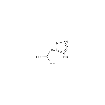 Br.CCCCC(O)CCCC.c1nc[nH]n1